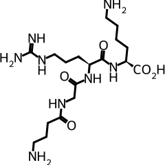 N=C(N)NCCC[C@H](NC(=O)CNC(=O)CCCN)C(=O)N[C@@H](CCCCN)C(=O)O